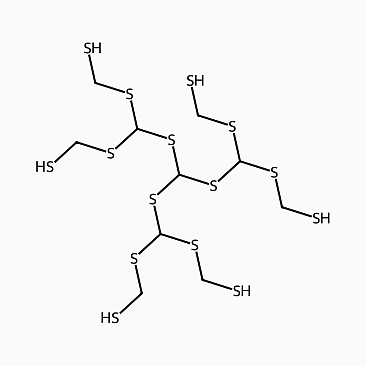 SCSC(SCS)SC(SC(SCS)SCS)SC(SCS)SCS